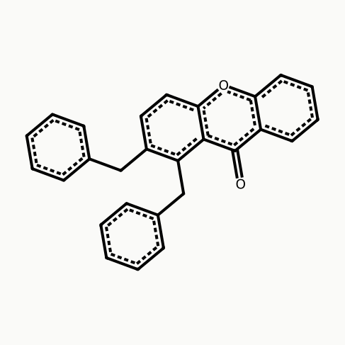 O=c1c2ccccc2oc2ccc(Cc3ccccc3)c(Cc3ccccc3)c12